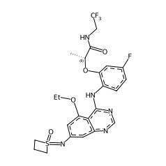 CCOc1cc(N=S2(=O)CCC2)cc2ncnc(Nc3ccc(F)cc3O[C@H](C)C(=O)NCC(F)(F)F)c12